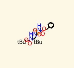 CC(C)(C)OC(=O)N[C@@H](CNS(=O)(=O)NC(=O)OCc1ccccc1)C(C)(C)C